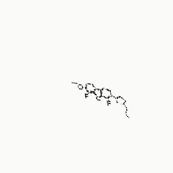 CCCC1CC=C(c2ccc3c(oc4c(F)c(OCC)ccc43)c2F)C1